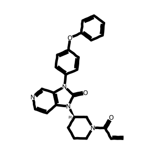 C=CC(=O)N1CCC[C@@H](n2c(=O)n(-c3ccc(Oc4ccccc4)cc3)c3cnccc32)C1